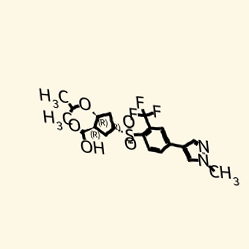 CC(C)O[C@@H]1C[C@H](S(=O)(=O)c2ccc(-c3cnn(C)c3)cc2C(F)(F)F)C[C@H]1C(=O)O